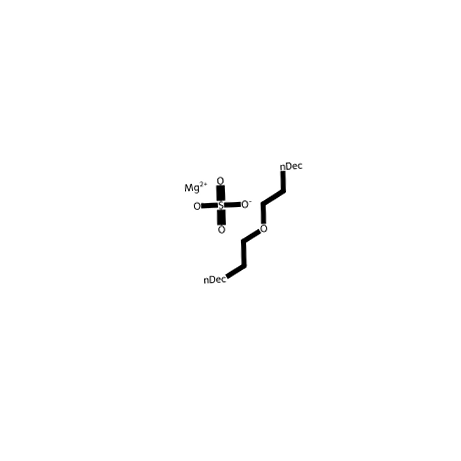 CCCCCCCCCCCCOCCCCCCCCCCCC.O=S(=O)([O-])[O-].[Mg+2]